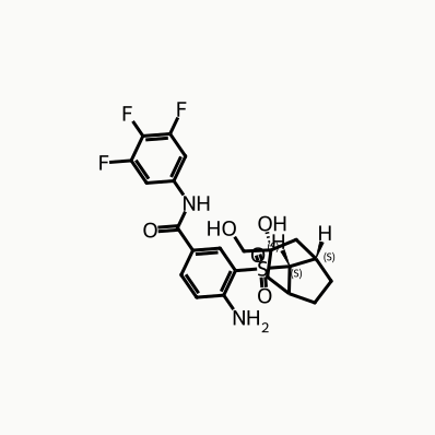 Nc1ccc(C(=O)Nc2cc(F)c(F)c(F)c2)cc1S(=O)(=O)[C@H]1C2CC[C@H]1C[C@](O)(CO)C2